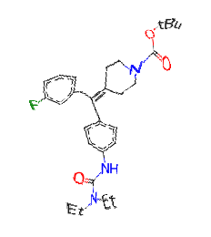 CCN(CC)C(=O)Nc1ccc(C(=C2CCN(C(=O)OC(C)(C)C)CC2)c2cccc(F)c2)cc1